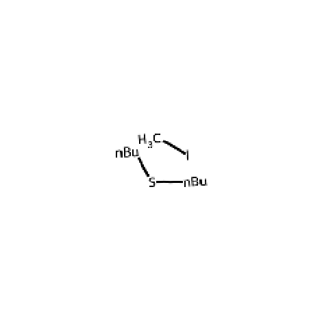 CCCCSCCCC.CI